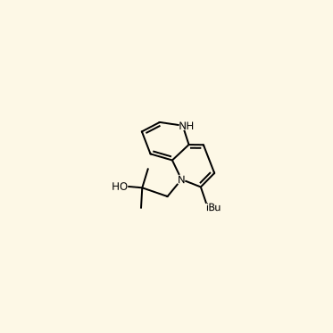 CCC(C)C1=CC=C2NC=CC=C2N1CC(C)(C)O